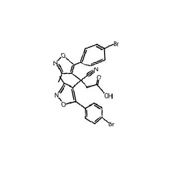 Cc1noc(-c2ccc(Br)cc2)c1C(C#N)(CC(=O)O)c1c(C)noc1-c1ccc(Br)cc1